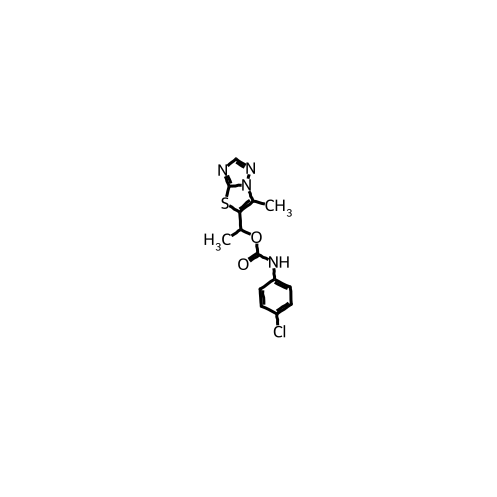 Cc1c(C(C)OC(=O)Nc2ccc(Cl)cc2)sc2ncnn12